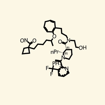 C=C(c1ncccc1C(F)(F)P)N1CCC[C@@H](C(=O)N(CCO)CCCC2=C(OC(C)CCCCC3(C(=O)N=O)CCC3)C=CCC=C2)[C@H]1CCC